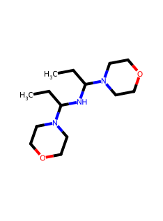 CCC(NC(CC)N1CCOCC1)N1CCOCC1